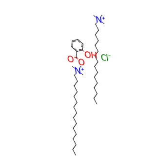 CCCCCCCCCCCCCCCC[N+](C)(C)C.CCCCCCCCCCCCCCCC[N+](C)(C)C.O=C([O-])c1ccccc1O.[Cl-]